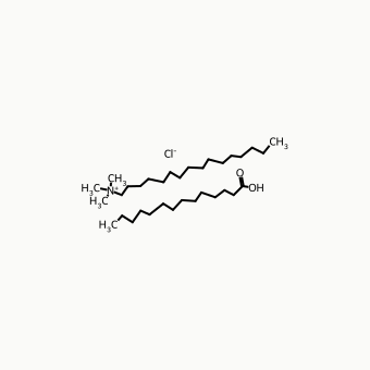 CCCCCCCCCCCCCC(=O)O.CCCCCCCCCCCCCCCC[N+](C)(C)C.[Cl-]